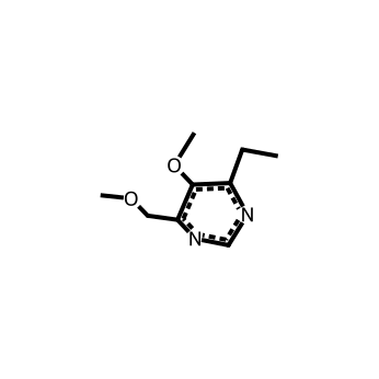 CCc1ncnc(COC)c1OC